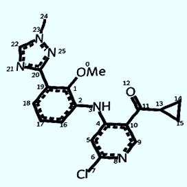 COc1c(Nc2cc(Cl)ncc2C(=O)C2CC2)cccc1-c1ncn(C)n1